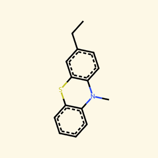 CCc1ccc2c(c1)Sc1ccccc1N2C